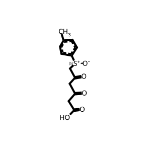 Cc1ccc([S@+]([O-])CC(=O)CC(=O)CC(=O)O)cc1